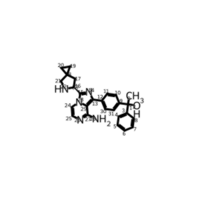 CC(O)(c1ccccc1)c1ccc(-c2nc([C@@H]3CC4(CC4)CN3)n3ccnc(N)c23)cc1